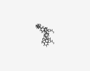 Cc1cccc(F)c1C(=O)Nc1cnc(-n2c(C)nc3cc(-c4nnco4)ccc32)cn1